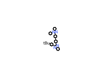 CC(C)(C)c1ccc(-c2nc3ccccc3nc2-c2ccc(-c3ccc(-c4nc5ccccc5n4-c4ccccc4)cc3)cc2)cc1